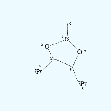 CB1OC(C(C)C)C(C(C)C)O1